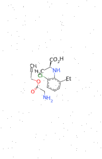 C#CCOC(=O)CN.CCc1cccc(Cl)c1N[C@@H](C)C(=O)O